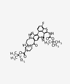 CC(C)(C)OC(=O)Nc1sc2c(F)ccc(-c3c(F)cc4c5c3nnn5CC[C@@H]3CN(C(=O)OC(C)(C)C)CCN3C4=O)c2c1C#N